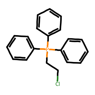 ClCC[P](c1ccccc1)(c1ccccc1)c1ccccc1